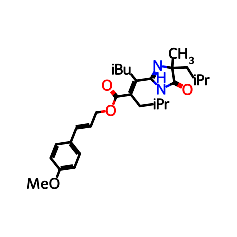 CCC(C)/C(C1=NC(C)(CC(C)C)C(=O)N1)=C(/CC(C)C)C(=O)OC/C=C/c1ccc(OC)cc1